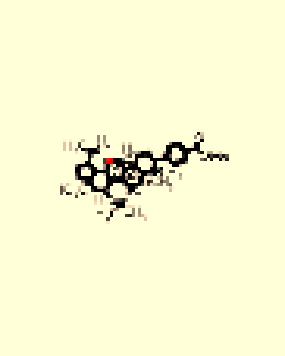 C=C(C)[C@@H]1CC[C@]2(C(=O)O)C[C@@H]3OC(C)(C)O[C@H]4C[C@H]5C(C)(C)C(c6ccc(C(=O)OC)cc6)=CC[C@]5(C)[C@H]5CC[C@H]([C@@H]12)[C@]3(C)[C@]45C